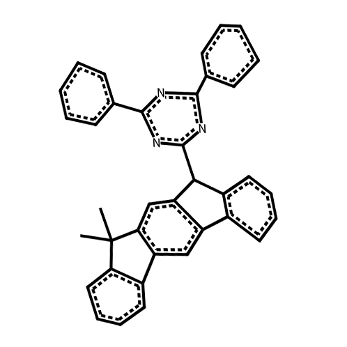 CC1(C)c2ccccc2-c2cc3c(cc21)C(c1nc(-c2ccccc2)nc(-c2ccccc2)n1)c1ccccc1-3